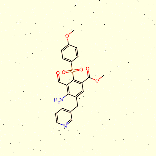 COC(=O)c1cc(Cc2cccnc2)c(N)c(C=O)c1S(=O)(=O)c1ccc(OC)cc1